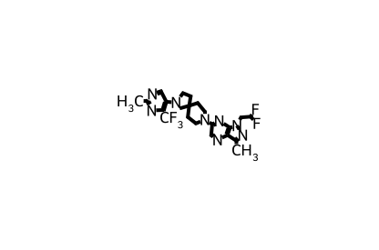 Cc1ncc(N2CCC3(CCN(c4cnc5c(C)nn(CC(F)F)c5n4)CC3)C2)c(C(F)(F)F)n1